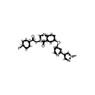 Cn1cc(-c2cc(Oc3ccc4ncn(CC(=O)c5ccc(F)cc5)c(=O)c4c3)ccn2)cn1